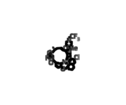 CO[C@]1(CN2CCN(CC(F)(F)F)CC2)/C=C/C[C@H](C)[C@@H](C)S(=O)(=O)NC(=O)c2ccc3c(c2)N(C[C@@H]2CC[C@H]21)C[C@@]1(CCCc2cc(Cl)ccc21)CO3